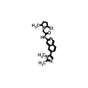 CCC1CCC(C)N1CC(=O)Nc1cc2cc(-c3cnc(C)n3C)ccc2cn1